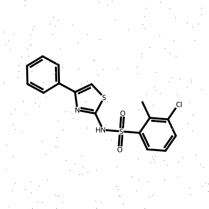 Cc1c(Cl)cccc1S(=O)(=O)Nc1nc(-c2ccccc2)cs1